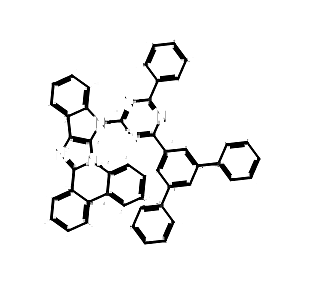 c1ccc(-c2cc(-c3ccccc3)cc(-c3nc(-c4ccccc4)nc(-n4c5ccccc5c5nc6c7ccccc7c7ccccc7n6c54)n3)c2)cc1